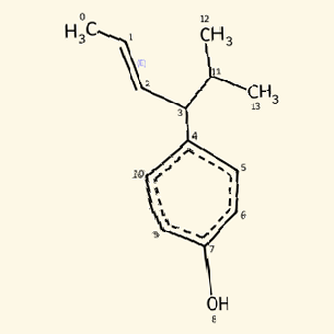 C/C=C/C(c1ccc(O)cc1)C(C)C